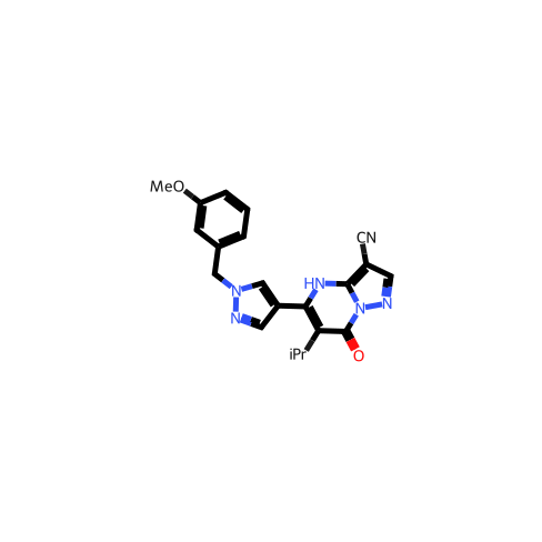 COc1cccc(Cn2cc(-c3[nH]c4c(C#N)cnn4c(=O)c3C(C)C)cn2)c1